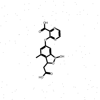 Cc1cc(Oc2nccnc2C(=O)O)cc2c1C(CC(=O)O)OB2O